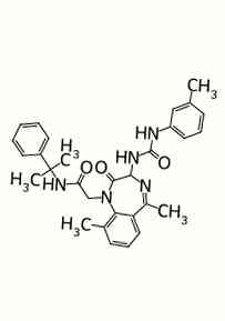 CC1=NC(NC(=O)Nc2cccc(C)c2)C(=O)N(CC(=O)NC(C)(C)c2ccccc2)c2c(C)cccc21